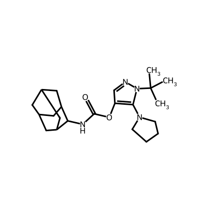 CC(C)(C)n1ncc(OC(=O)NC2C3CC4CC(C3)CC2C4)c1N1CCCC1